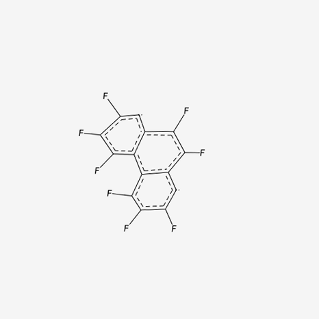 Fc1[c]c2c(F)c(F)c3[c]c(F)c(F)c(F)c3c2c(F)c1F